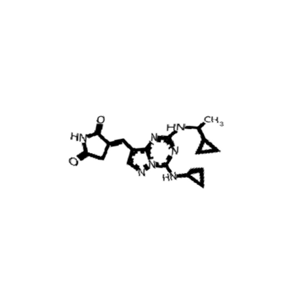 CC(Nc1nc(NC2CC2)n2ncc(C=C3CC(=O)NC3=O)c2n1)C1CC1